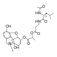 CC(=O)N[C@@H](CC(C)C)C(=O)NCCC(=O)OC(C)C(=O)OC1=CCC2(O)C3Cc4ccc(O)c5c4C2(CCN3C)C1O5